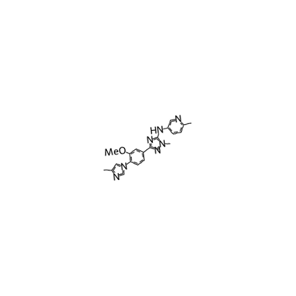 COc1cc(-c2nc(Nc3ccc(C)nc3)n(C)n2)ccc1-n1cnc(C)c1